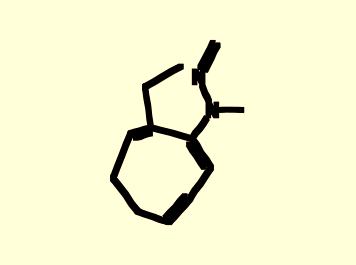 C=NN(C)C1=C/C=C\CC/C=C\1CC